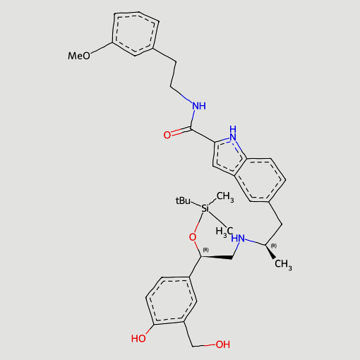 COc1cccc(CCNC(=O)c2cc3cc(C[C@@H](C)NC[C@H](O[Si](C)(C)C(C)(C)C)c4ccc(O)c(CO)c4)ccc3[nH]2)c1